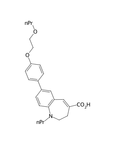 CCCOCCOc1ccc(-c2ccc3c(c2)C=C(C(=O)O)CCN3CCC)cc1